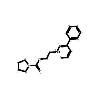 C/C=C\C(=N/NCCNC(=O)N1CCCC1)c1ccccc1